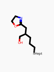 CCCCCCCCCCC(CO)CC1=NCCO1